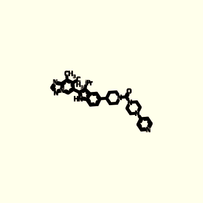 Cc1c(-c2[nH]c3ccc(C4CCN(C(=O)N5CCN(c6ccncc6)CC5)CC4)cc3c2C(C)C)cn2ncnc2c1C